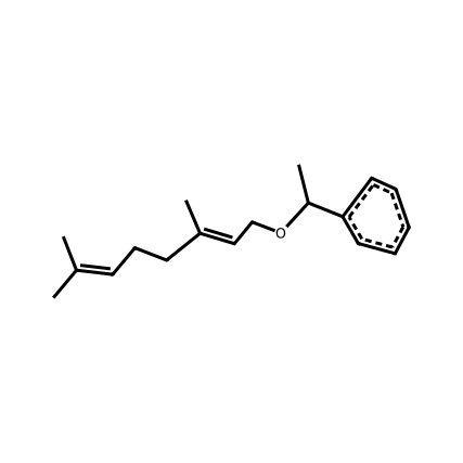 CC(C)=CCC/C(C)=C/COC(C)c1ccccc1